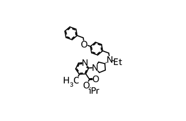 CCN(Cc1ccc(OCc2ccccc2)cc1)[C@@H]1CCN(c2nccc(C)c2C(=O)OC(C)C)C1